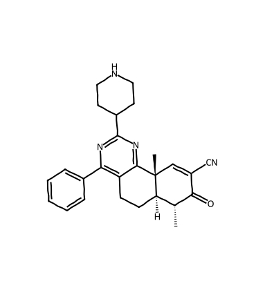 C[C@H]1C(=O)C(C#N)=C[C@@]2(C)c3nc(C4CCNCC4)nc(-c4ccccc4)c3CC[C@H]12